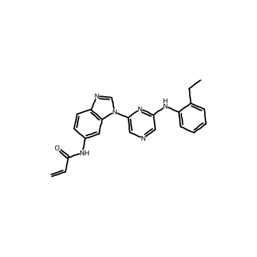 C=CC(=O)Nc1ccc2ncn(-c3cncc(Nc4ccccc4CC)n3)c2c1